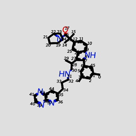 Cc1cc(C)cc(-c2[nH]c3ccc(C(C)(C)C(=O)N4C5CCC4CC5)cc3c2C(C)CNCCCc2cnc3nccnc3c2)c1